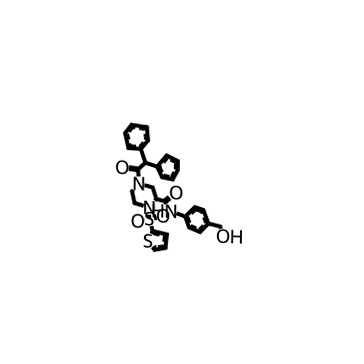 O=C(Nc1ccc(CO)cc1)C1CN(C(=O)C(c2ccccc2)c2ccccc2)CCN1S(=O)(=O)c1cccs1